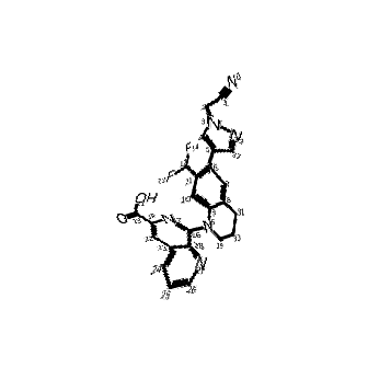 N#CCn1cc(-c2cc3c(cc2C(F)F)N(c2nc(C(=O)O)cc4cccnc24)CCC3)cn1